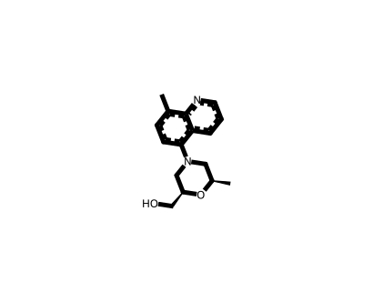 Cc1ccc(N2C[C@H](CO)O[C@H](C)C2)c2cccnc12